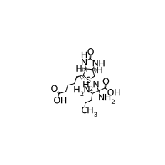 CCCC(N)C(N)(N)C(=O)O.O=C(O)CCCC[C@@H]1SC[C@@H]2NC(=O)N[C@@H]21